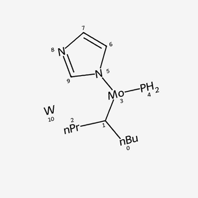 CCCC[CH](CCC)[Mo]([PH2])[n]1ccnc1.[W]